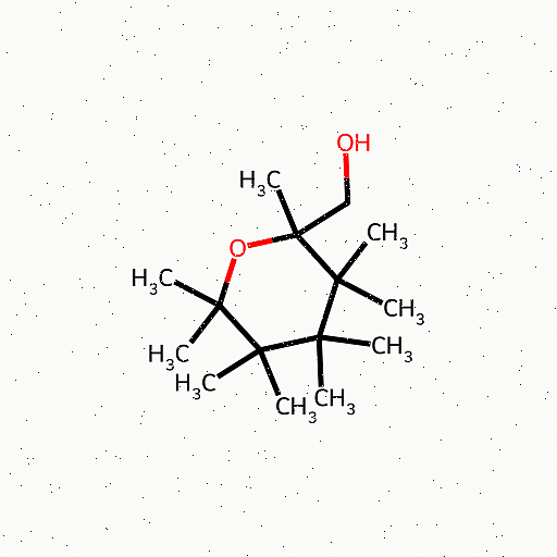 CC1(C)OC(C)(CO)C(C)(C)C(C)(C)C1(C)C